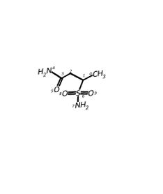 CC(CC(N)=O)S(N)(=O)=O